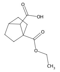 CCOC(=O)C12CCC(CC1)C2C(=O)O